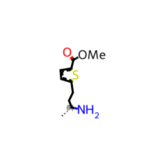 COC(=O)c1ccc(CC[C@@H](C)N)s1